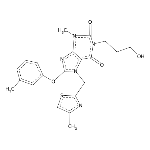 Cc1cccc(Oc2nc3c(c(=O)n(CCCO)c(=O)n3C)n2Cc2nc(C)cs2)c1